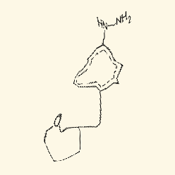 NNc1ccc(CC2CCCO2)cc1